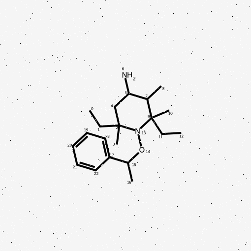 CCC1(C)CC(N)C(C)C(C)(CC)N1OC(C)c1ccccc1